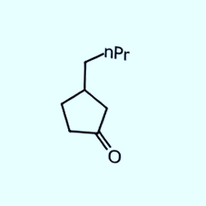 [CH2]CCCC1CCC(=O)C1